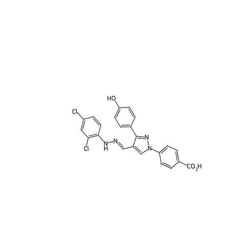 O=C(O)c1ccc(-n2cc(/C=N/Nc3ccc(Cl)cc3Cl)c(-c3ccc(O)cc3)n2)cc1